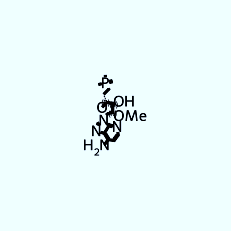 C=P(C)(C)CC[C@H]1OC(n2cnc3c(N)ccnc32)[C@H](OC)[C@@H]1O